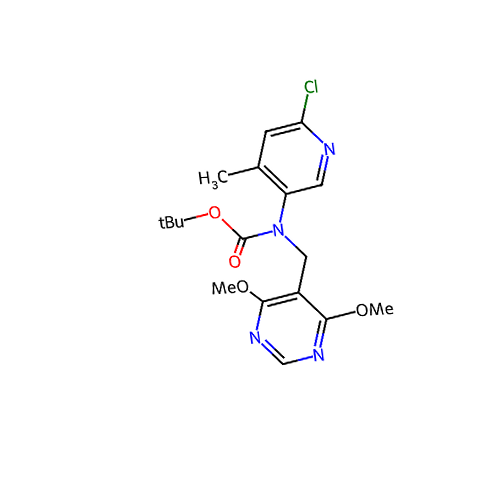 COc1ncnc(OC)c1CN(C(=O)OC(C)(C)C)c1cnc(Cl)cc1C